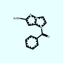 CC(=O)Nc1cc2n(C(=O)c3ccccc3)ccn2n1